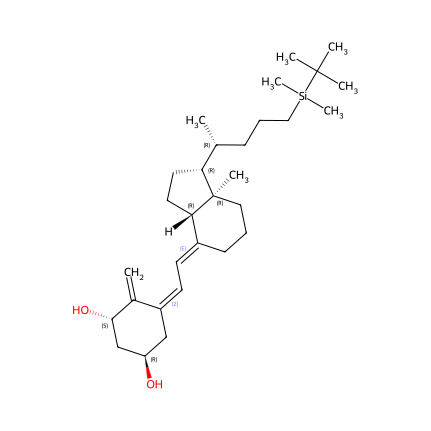 C=C1/C(=C\C=C2/CCC[C@]3(C)[C@@H]([C@H](C)CCC[Si](C)(C)C(C)(C)C)CC[C@@H]23)C[C@@H](O)C[C@@H]1O